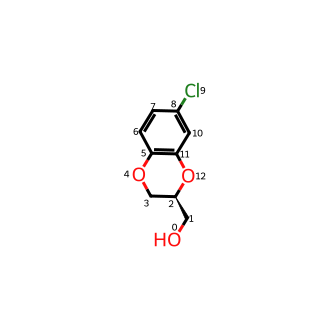 OC[C@H]1COc2ccc(Cl)cc2O1